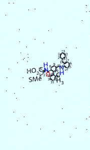 CSCC[C@H](NC(=O)c1ccc(CNc2ccccc2Cc2ccccc2)cc1-c1ccccc1C)C(=O)O